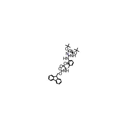 CC(C)(C)OC(=O)/N=C(\NC(=O)OC(C)(C)C)Nc1cccc(C[C@H](NC(=O)OCC2c3ccccc3-c3ccccc32)C(=O)O)c1